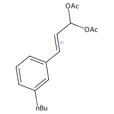 CCCCc1cccc(/C=C/C(OC(C)=O)OC(C)=O)c1